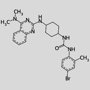 Cc1cc(Br)ccc1NC(=O)NC1CCC(Nc2nc(N(C)C)c3ccccc3n2)CC1